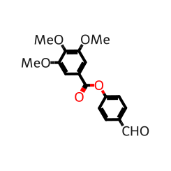 COc1cc(C(=O)Oc2ccc(C=O)cc2)cc(OC)c1OC